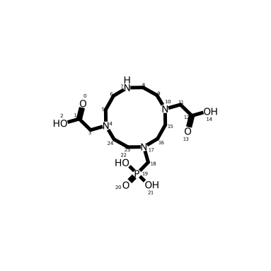 O=C(O)CN1CCNCCN(CC(=O)O)CCN(CP(=O)(O)O)CC1